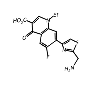 CCn1cc(C(=O)O)c(=O)c2cc(F)c(-c3csc(CN)n3)cc21